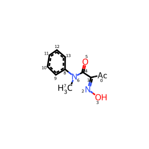 CC(=O)C(=NO)C(=O)N(C)c1ccccc1